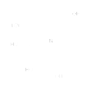 Br.OCCN1CC(O)C(O)C1CO